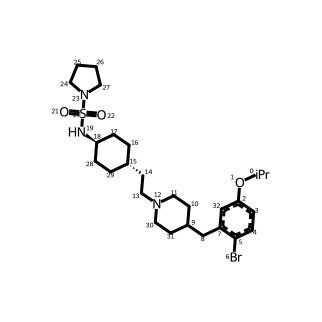 CC(C)Oc1ccc(Br)c(CC2CCN(CC[C@H]3CC[C@H](NS(=O)(=O)N4CCCC4)CC3)CC2)c1